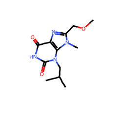 COCc1nc2c(=O)[nH]c(=O)n(CC(C)C)c2n1C